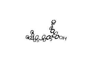 O=COCC(COC=O)OC(=O)SCCC(=O)Oc1ccc2c(C(=O)c3ccc(OCCN4CCCCC4)cc3)c(-c3ccc(O)cc3)sc2c1